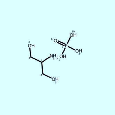 NC(CO)CO.O=P(O)(O)O